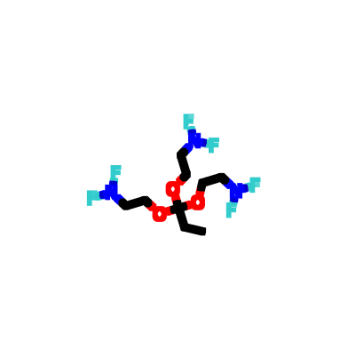 CCC(OCCN(F)F)(OCCN(F)F)OCCN(F)F